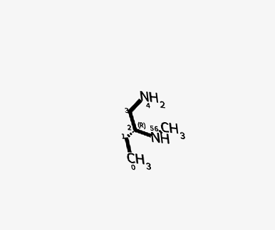 CC[C@H](CN)NC